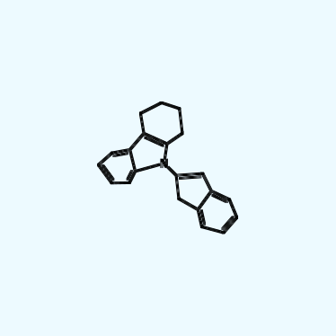 C1=C(n2c3c(c4ccccc42)CCCC3)Cc2ccccc21